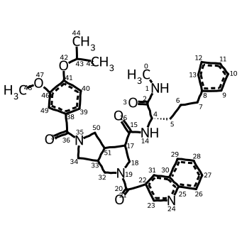 CNC(=O)[C@H](CCCc1ccccc1)NC(=O)C1CN(C(=O)c2cnc3ccccc3c2)CC2CN(C(=O)c3ccc(OC(C)C)c(OC)c3)CC21